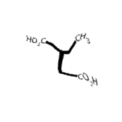 C[C](CC(=O)O)C(=O)O